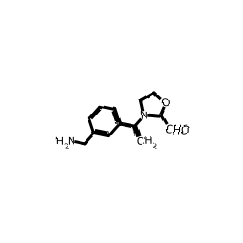 C=C(c1cccc(CN)c1)N1CCOC1C=O